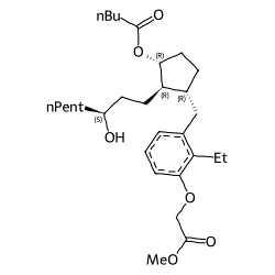 CCCCC[C@H](O)CC[C@@H]1[C@@H](Cc2cccc(OCC(=O)OC)c2CC)CC[C@H]1OC(=O)CCCC